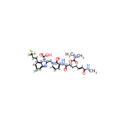 CNC(=O)C=CCCC(OC(=O)N(C)C)C(=O)Nc1cccn(Cc2nc3cc(F)cc(CCC(F)(F)F)c3n2C(=O)O)c1=O